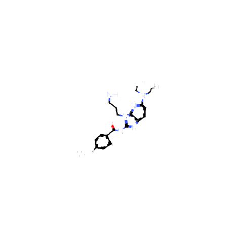 COc1ccc(C(=O)Nc2nc3ccc(N(CC(C)C)CC(C)C)nc3n2CCCN)cc1